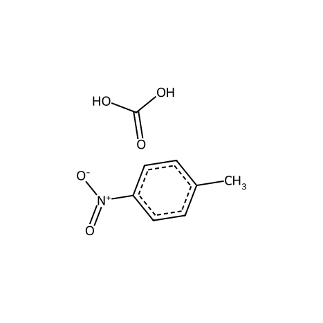 Cc1ccc([N+](=O)[O-])cc1.O=C(O)O